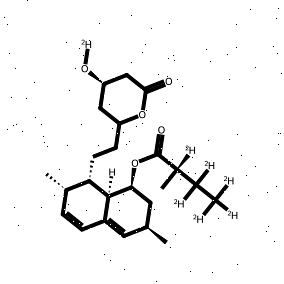 [2H]O[C@H]1CC(=O)OC(CC[C@@H]2[C@@H]3C(=C[C@H](C)C[C@@H]3OC(=O)[C@@]([2H])(C)C([2H])([2H])C([2H])([2H])[2H])C=C[C@@H]2C)C1